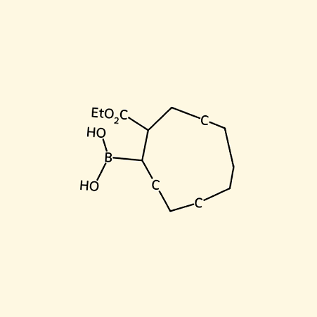 CCOC(=O)C1CCCCCCCCC1B(O)O